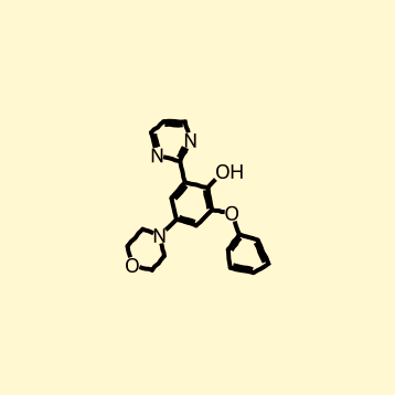 Oc1c(Oc2ccccc2)cc(N2CCOCC2)cc1-c1ncccn1